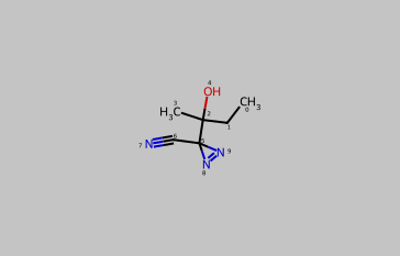 CCC(C)(O)C1(C#N)N=N1